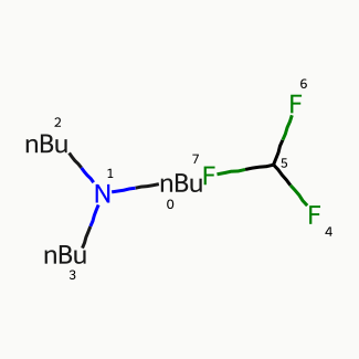 CCCCN(CCCC)CCCC.FC(F)F